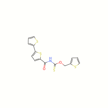 O=C(NC(=S)OCc1cccs1)c1ccc(-c2cccs2)s1